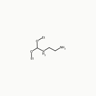 CCOC(OCC)[SiH2]CCN